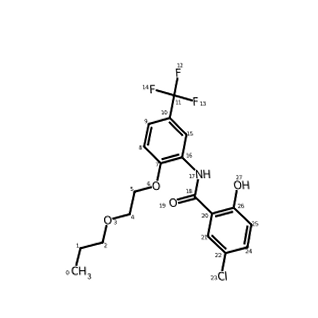 CCCOCCOc1ccc(C(F)(F)F)cc1NC(=O)c1cc(Cl)ccc1O